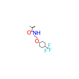 C=C(C)C(=O)NCCOC1CCC(C(F)(F)F)CC1